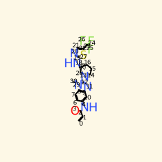 C=CC(=O)Nc1ccc2c(c1)nc(N1CCC[C@@H](Nc3ncc(C(F)(F)F)s3)C1)n2C